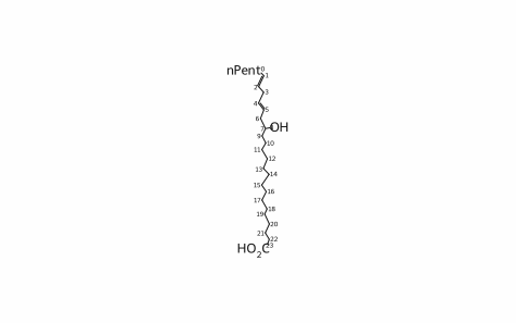 CCCCCC=CCC=CCC(O)CCCCCCCCCCCCCCC(=O)O